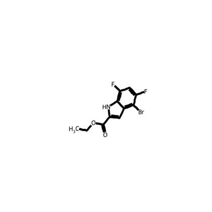 CCOC(=O)c1cc2c(Br)c(F)cc(F)c2[nH]1